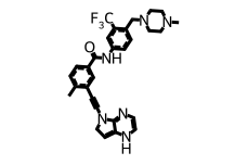 Cc1ccc(C(=O)Nc2ccc(CN3CCN(C)CC3)c(C(F)(F)F)c2)cc1C#CN1CC=C2NC=CN=C21